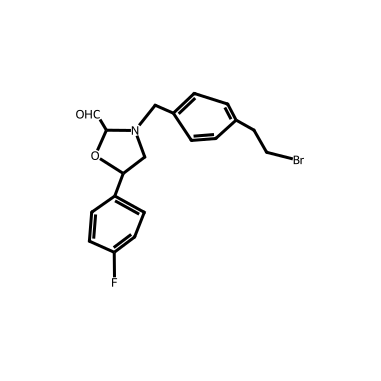 O=CC1OC(c2ccc(F)cc2)CN1Cc1ccc(CCBr)cc1